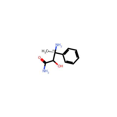 C[C@](N)(c1ccccc1)C(O)C(N)=O